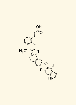 C[C@@H](c1cccc(CCC(=O)O)c1F)c1cnc2n1CCc1ccc(Oc3c(F)cc4[nH]ccc4c3F)cc1-2